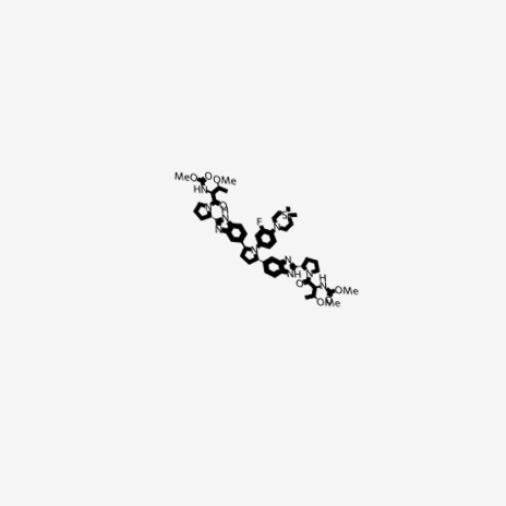 COC(=O)N[C@H](C(=O)N1CCC[C@H]1c1nc2cc([C@@H]3CC[C@@H](c4ccc5[nH]c([C@@H]6CCCN6C(=O)[C@@H](NC(=O)OC)[C@@H](C)OC)nc5c4)N3c3ccc(N4CC[Si](C)(C)CC4)c(F)c3)ccc2[nH]1)[C@@H](C)OC